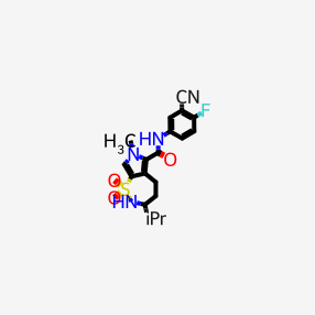 CC(C)C1CCc2c(cn(C)c2C(=O)Nc2ccc(F)c(C#N)c2)S(=O)(=O)N1